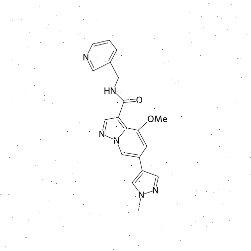 COc1cc(-c2cnn(C)c2)cn2ncc(C(=O)NCc3cccnc3)c12